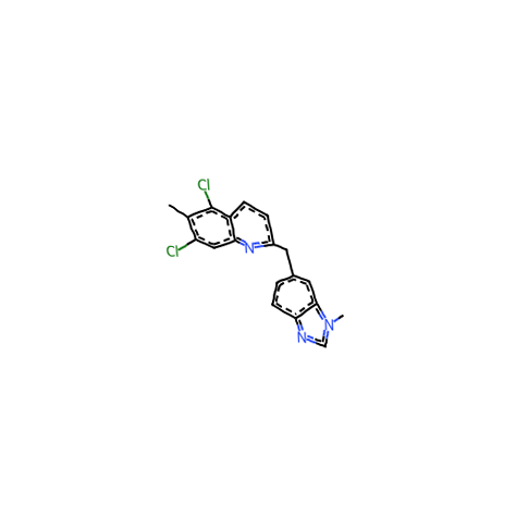 Cc1c(Cl)cc2nc(Cc3ccc4ncn(C)c4c3)ccc2c1Cl